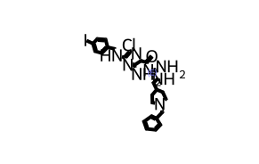 N/C(=N\C(=O)c1nc(Cl)c(NCc2ccc(I)cc2)nc1N)NCC1CCN(Cc2ccccc2)CC1